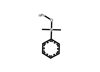 CCCO[Si](C)(C)c1ccccc1